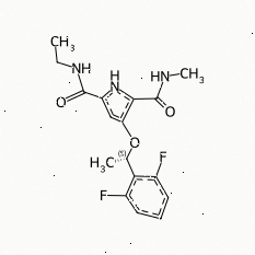 CCNC(=O)c1cc(O[C@@H](C)c2c(F)cccc2F)c(C(=O)NC)[nH]1